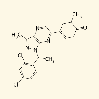 Cc1nn(C(C)c2ccc(Cl)cc2Cl)c2nc(C3=CCC(=O)C(C)C3)cnc12